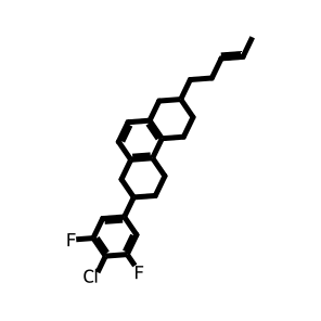 CC=CCCC1CCc2c(ccc3c2CCC(c2cc(F)c(Cl)c(F)c2)C3)C1